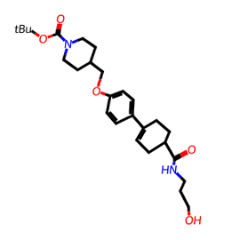 CC(C)(C)OC(=O)N1CCC(COc2ccc(C3=CCC(C(=O)NCCCO)CC3)cc2)CC1